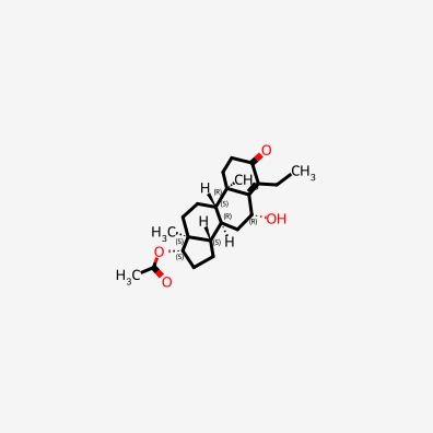 CCC1=C2[C@H](O)C[C@H]3[C@@H]4CC[C@H](OC(C)=O)[C@@]4(C)CC[C@@H]3[C@@]2(C)CCC1=O